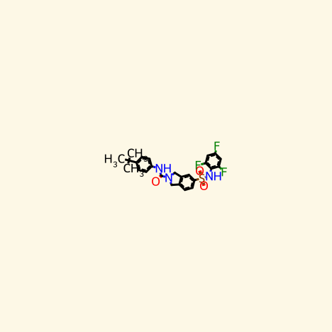 CC(C)(C)c1ccc(NC(=O)N2Cc3ccc(S(=O)(=O)Nc4c(F)cc(F)cc4F)cc3C2)cc1